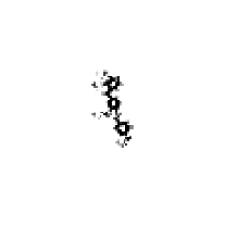 COc1ccc(COc2ccc(Cc3ccnc(N)c3N)cc2OC)cc1